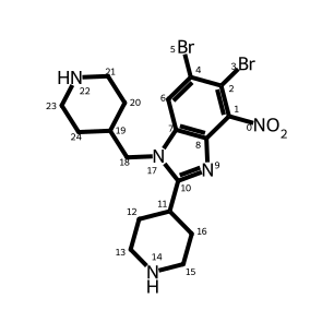 O=[N+]([O-])c1c(Br)c(Br)cc2c1nc(C1CCNCC1)n2CC1CCNCC1